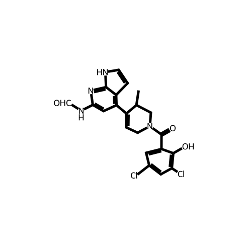 CC1CN(C(=O)c2cc(Cl)cc(Cl)c2O)CC=C1c1cc(NC=O)nc2[nH]ccc12